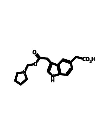 O=C(O)Cc1ccc2[nH]cc(CC(=O)OCN3CCCC3)c2c1